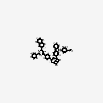 N#Cc1ccc(-n2c3ccccc3c3ccc(C45CC6CC7CC(c8ccc(-c9cc(-c%10ccc%11ccccc%11c%10)nc(-c%10ccccc%10)n9)cc8)(C4)CC765)cc32)cc1